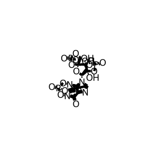 O=c1c2nc3n([C@]45O[C@@]6(OP7(=O)OC6(O)O7)[C@@]6(O)OP(=O)(O4)O[C@@]56O)c2n2c(=O)n1OP(=O)(O3)O2